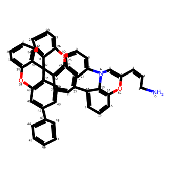 NC/C=C\C1=CN(c2ccccc2)c2c(cccc2-c2ccc3c(c2)Oc2ccccc2C32c3ccccc3Oc3cc(-c4ccccc4)ccc32)O1